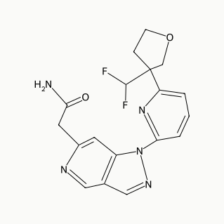 NC(=O)Cc1cc2c(cn1)cnn2-c1cccc(C2(C(F)F)CCOC2)n1